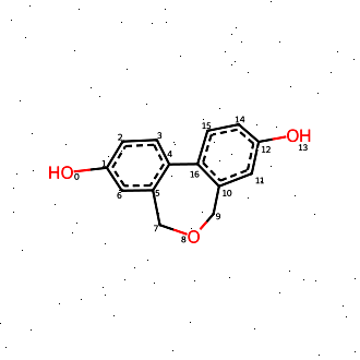 Oc1ccc2c(c1)COCc1cc(O)ccc1-2